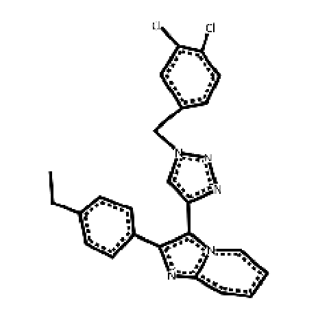 CCc1ccc(-c2nc3ccccn3c2-c2cn(Cc3ccc(Cl)c(Cl)c3)nn2)cc1